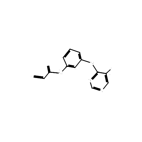 C=CC(=O)Nc1cccc(Nc2ncncc2F)c1